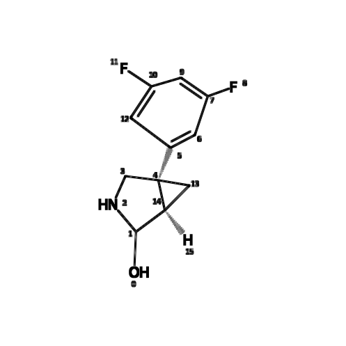 OC1NC[C@@]2(c3cc(F)cc(F)c3)C[C@@H]12